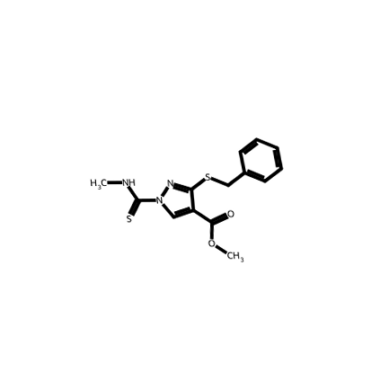 CNC(=S)n1cc(C(=O)OC)c(SCc2ccccc2)n1